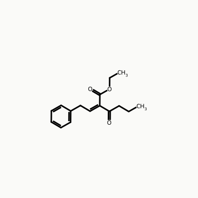 CCCC(=O)C(=CCc1ccccc1)C(=O)OCC